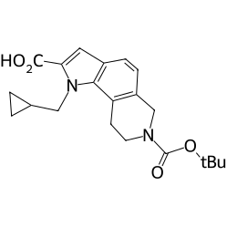 CC(C)(C)OC(=O)N1CCc2c(ccc3cc(C(=O)O)n(CC4CC4)c23)C1